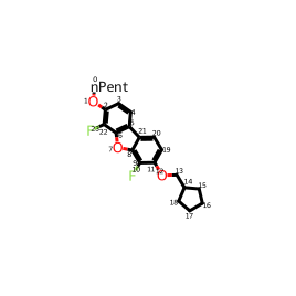 CCCCCOc1ccc2c(oc3c(F)c(OCC4CCCC4)ccc32)c1F